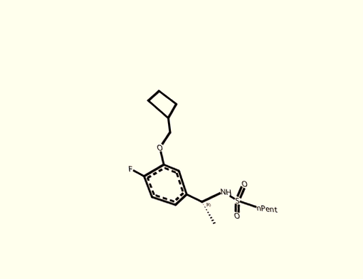 CCCCCS(=O)(=O)N[C@H](C)c1ccc(F)c(OCC2CCC2)c1